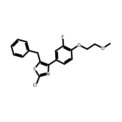 COCCOc1ccc(-c2nc(Cl)sc2Cc2ccccc2)cc1F